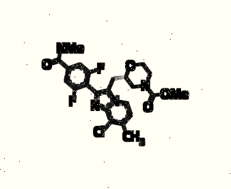 CNC(=O)c1cc(F)c(-c2nc3c(Cl)c(C)ccn3c2C[C@H]2CN(C(=O)OC)CCO2)c(F)c1